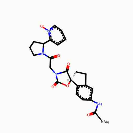 CNC(=O)Nc1ccc2c(c1)CC[C@@]21OC(=O)N(CC(=O)N2CCCC2c2cccc[n+]2[O-])C1=O